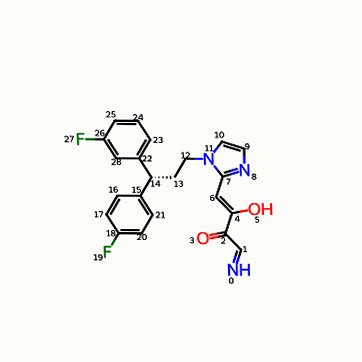 N=CC(=O)/C(O)=C/c1nccn1CC[C@H](c1ccc(F)cc1)c1cccc(F)c1